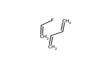 C=CC=C.C=CF